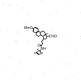 COc1ccc2c(c1)CCC1C2CCC2(C)C(C=O)CC(CCC(=O)Nc3ncc(C)s3)C12